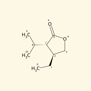 CC[C@@H]1COC(=O)[C@H]1C(C)C